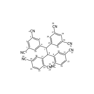 N#Cc1cc(C#N)cc(C([C](c2cc(C#N)ccc2C#N)c2cc(C#N)ccc2C#N)c2cc(C#N)cc(C#N)c2)c1